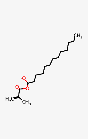 C=C(C)C(=O)OC([O])CCCCCCCCCCCC